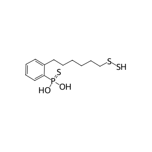 OP(O)(=S)c1ccccc1CCCCCCSS